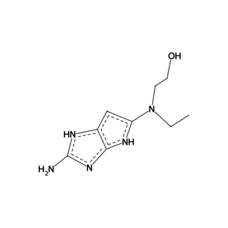 CCN(CCO)c1cc2[nH]c(N)nc2[nH]1